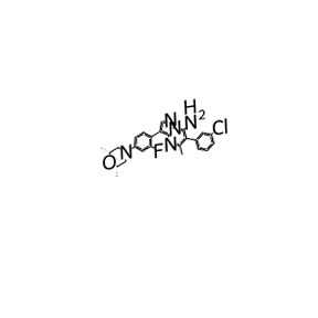 Cc1nc2c(-c3ccc(N4C[C@@H](C)O[C@@H](C)C4)cc3F)cnn2c(N)c1-c1cccc(Cl)c1